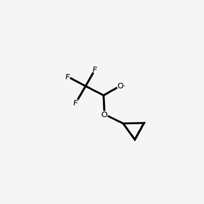 [O]C(OC1CC1)C(F)(F)F